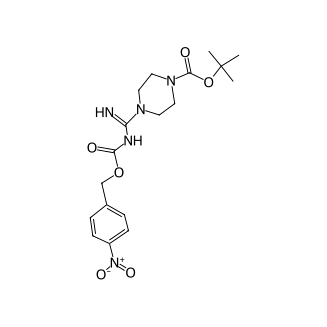 CC(C)(C)OC(=O)N1CCN(C(=N)NC(=O)OCc2ccc([N+](=O)[O-])cc2)CC1